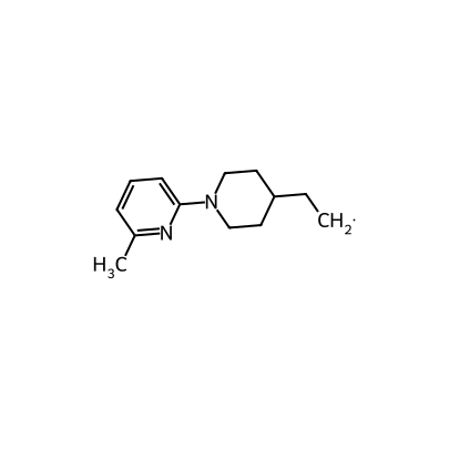 [CH2]CC1CCN(c2cccc(C)n2)CC1